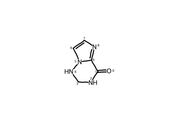 O=C1NCNn2ccnc21